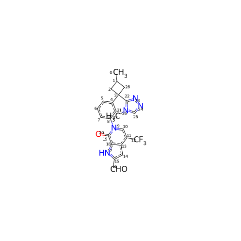 CC1CC(c2cccc(-n3cc(C(F)(F)F)c4cc(C=O)[nH]c4c3=O)c2)(c2nncn2C)C1